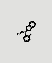 Cc1ccccc1N(CC(C)C)C1Cc2ccccc2C1